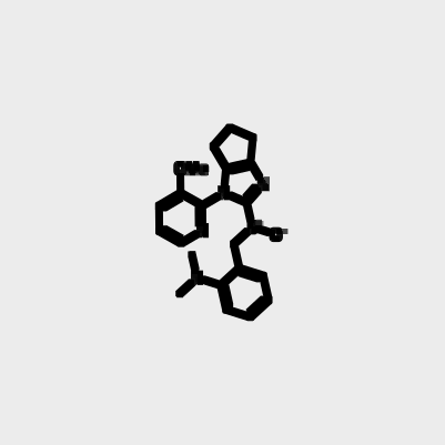 COc1cccnc1-n1c([S+]([O-])Cc2ccccc2N(C)C)nc2c1CCC2